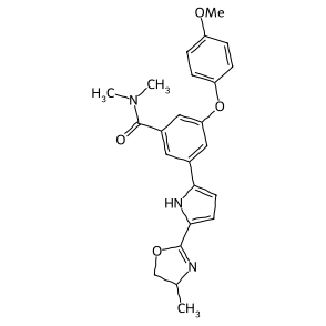 COc1ccc(Oc2cc(C(=O)N(C)C)cc(-c3ccc(C4=NC(C)CO4)[nH]3)c2)cc1